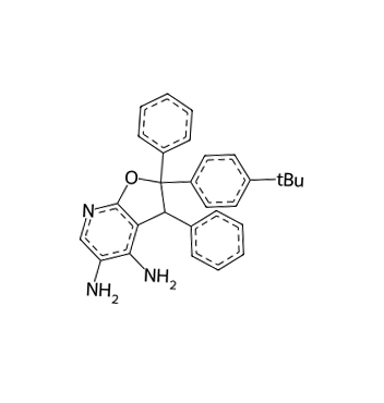 CC(C)(C)c1ccc(C2(c3ccccc3)Oc3ncc(N)c(N)c3C2c2ccccc2)cc1